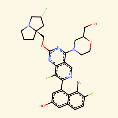 CCc1c(F)ccc2cc(O)cc(-c3ncc4c(N5CCOC(CO)C5)nc(OC[C@@]56CCCN5C[C@H](F)C6)nc4c3F)c12